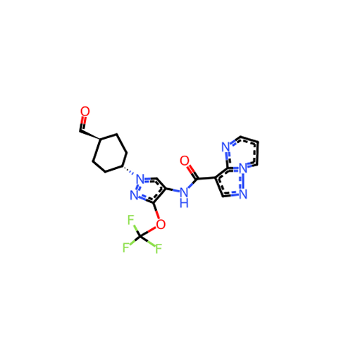 O=C[C@H]1CC[C@H](n2cc(NC(=O)c3cnn4cccnc34)c(OC(F)(F)F)n2)CC1